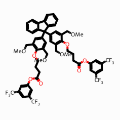 COCc1cc(C2(c3cc(COC)c(OCCCC(=O)Oc4cc(C(F)(F)F)cc(C(F)(F)F)c4)c(COC)c3)c3ccccc3-c3ccccc32)cc(COC)c1OCCCC(=O)Oc1cc(C(F)(F)F)cc(C(F)(F)F)c1